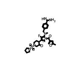 Cc1cc(C(=O)n2nc(C3CCN(S(=O)(=O)N4CCCC4)CC3=O)c(F)c2N(C)Cc2ccc(C(=N)N)cc2)co1